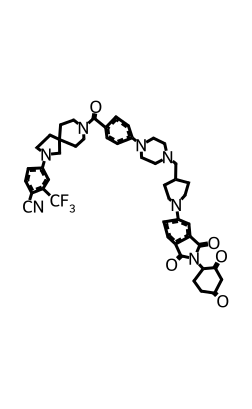 N#Cc1ccc(N2CCC3(CCN(C(=O)c4ccc(N5CCN(CC6CCN(c7ccc8c(c7)C(=O)N(C7CCC(=O)CC7=O)C8=O)CC6)CC5)cc4)CC3)C2)cc1C(F)(F)F